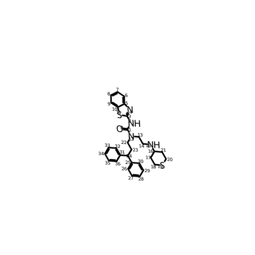 O=C(Nc1nc2ccccc2s1)N(CCNC1CCSCC1)CCC(c1ccccc1)c1ccccc1